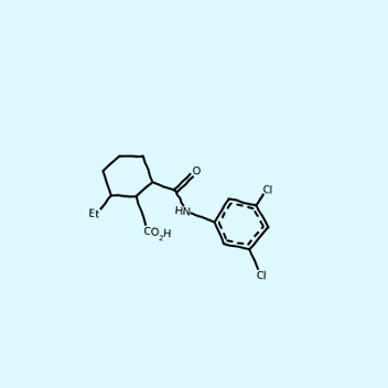 CCC1CCCC(C(=O)Nc2cc(Cl)cc(Cl)c2)C1C(=O)O